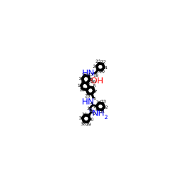 N/C(=C\C(NCc1ccc2c(ccc3ccc(NCc4ccccc4)c(O)c32)c1)c1ccccc1)c1ccccc1